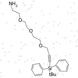 CC(C)(C)[Si](C#CCOCCOCCOCCN)(c1ccccc1)c1ccccc1